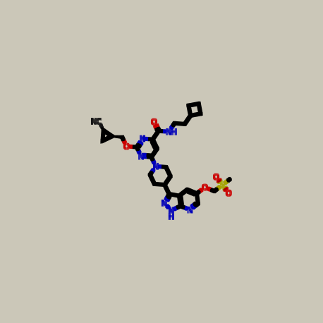 CS(=O)(=O)COc1cnc2[nH]nc(C3CCN(c4cc(C(=O)NCCC5CCC5)nc(OC[C@H]5C[C@H]5C#N)n4)CC3)c2c1